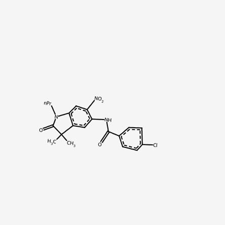 CCCN1C(=O)C(C)(C)c2cc(NC(=O)c3ccc(Cl)cc3)c([N+](=O)[O-])cc21